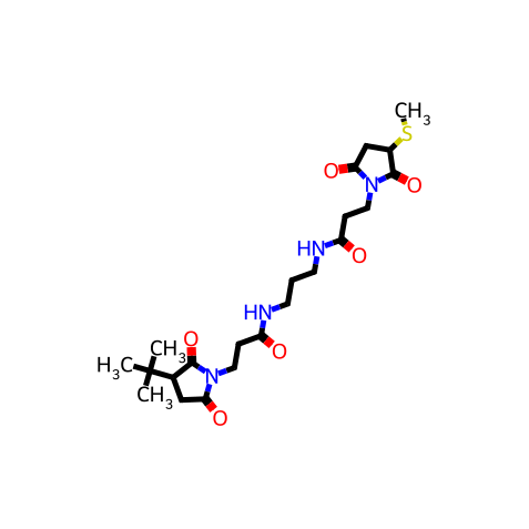 CSC1CC(=O)N(CCC(=O)NCCCNC(=O)CCN2C(=O)CC(C(C)(C)C)C2=O)C1=O